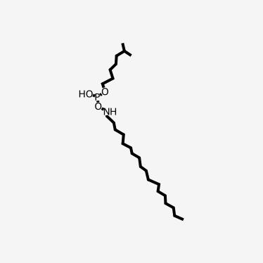 CCCCCCCCCCCCCCCCCCNOP(O)OCCCCCC(C)C